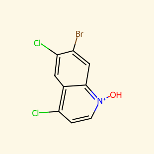 O[n+]1ccc(Cl)c2cc(Cl)c(Br)cc21